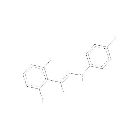 Fc1cccc(Cl)c1/C(Cl)=N/Nc1ccc(I)cc1